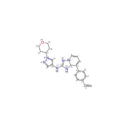 COc1ccc(C2=CC=CN3N=C(Nc4cnn(C5CCOCC5)c4)NC23)cc1